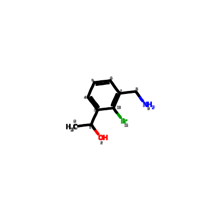 CC(O)c1cccc(CN)c1Br